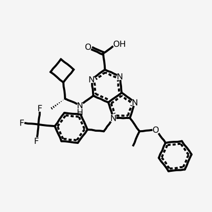 CC(Oc1ccccc1)c1nc2nc(C(=O)O)nc(N[C@H](C)C3CCC3)c2n1Cc1ccc(C(F)(F)F)cc1